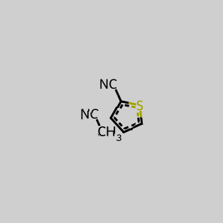 CC#N.N#Cc1cccs1